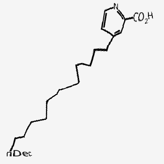 CCCCCCCCCCCCCCCCCCCCCCc1ccnc(C(=O)O)c1